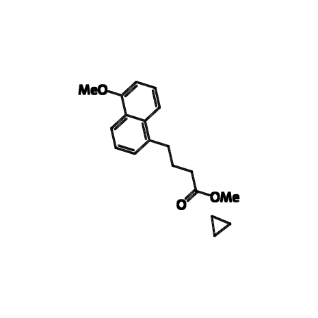 C1CC1.COC(=O)CCCc1cccc2c(OC)cccc12